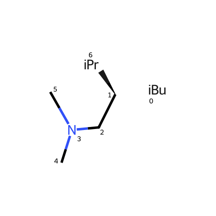 CC[C@H](C)[C@@H](CN(C)C)C(C)C